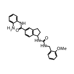 COc1ccccc1CNC(=O)NC1CCc2cc(C(=O)Nc3ccccc3N)ccc21